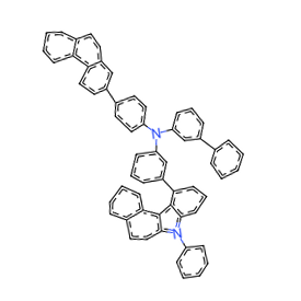 c1ccc(-c2cccc(N(c3ccc(-c4ccc5c(ccc6ccccc65)c4)cc3)c3cccc(-c4cccc5c4c4c6ccccc6ccc4n5-c4ccccc4)c3)c2)cc1